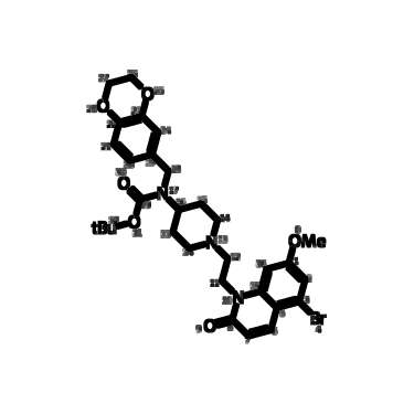 COc1cc(Br)c2ccc(=O)n(CCN3CCC(N(Cc4ccc5c(c4)OCCO5)C(=O)OC(C)(C)C)CC3)c2c1